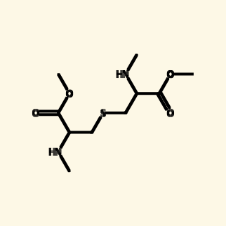 CNC(CSCC(NC)C(=O)OC)C(=O)OC